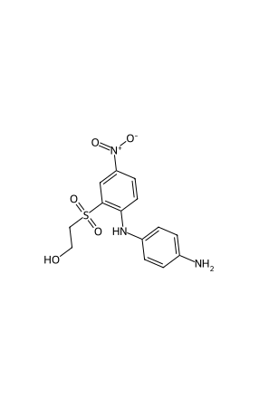 Nc1ccc(Nc2ccc([N+](=O)[O-])cc2S(=O)(=O)CCO)cc1